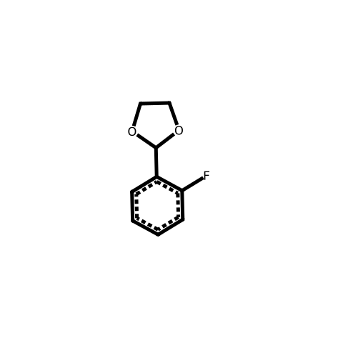 Fc1ccccc1C1OCCO1